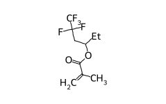 C=C(C)C(=O)OC(CC)CC(F)(F)C(F)(F)F